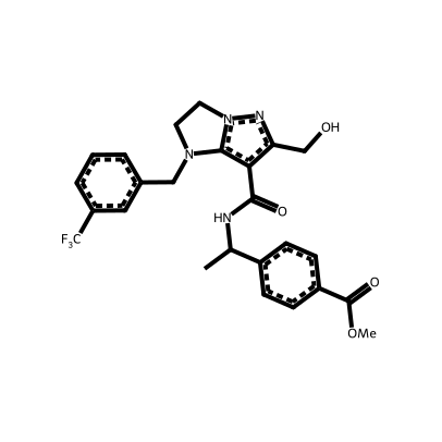 COC(=O)c1ccc(C(C)NC(=O)c2c(CO)nn3c2N(Cc2cccc(C(F)(F)F)c2)CC3)cc1